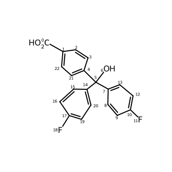 O=C(O)c1ccc(C(O)(c2ccc(F)cc2)c2ccc(F)cc2)cc1